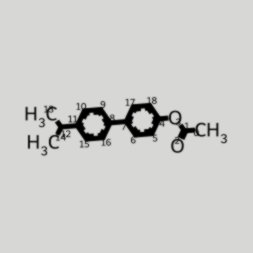 CC(=O)Oc1ccc(-c2ccc(C(C)C)cc2)cc1